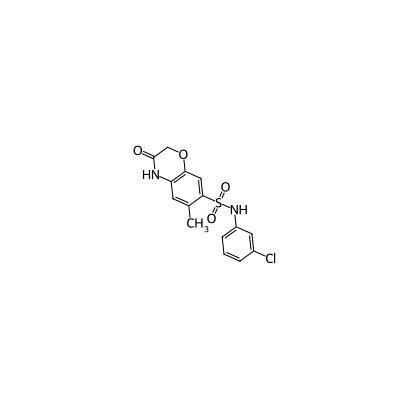 Cc1cc2c(cc1S(=O)(=O)Nc1cccc(Cl)c1)OCC(=O)N2